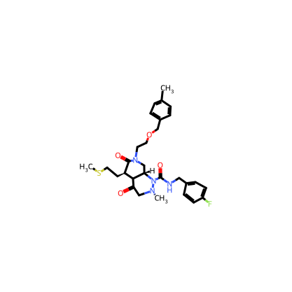 CSCC[C@H]1C(=O)N(CCOCc2ccc(C)cc2)C[C@H]2C1C(=O)CN(C)N2C(=O)NCc1ccc(F)cc1